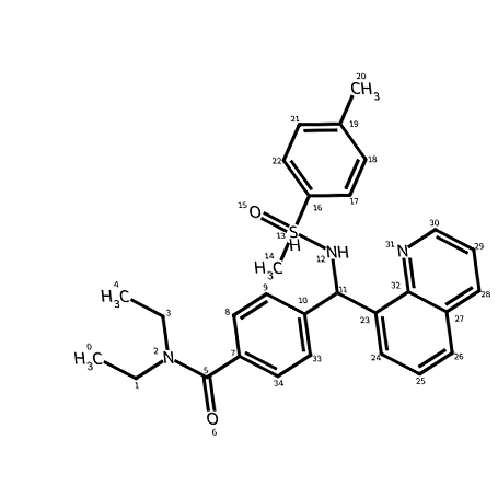 CCN(CC)C(=O)c1ccc(C(N[SH](C)(=O)c2ccc(C)cc2)c2cccc3cccnc23)cc1